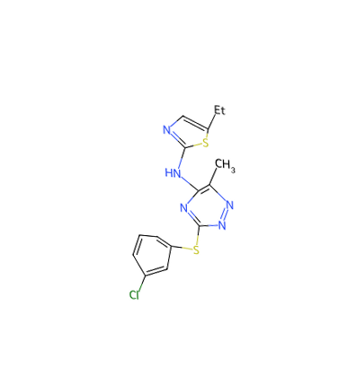 CCc1cnc(Nc2nc(Sc3cccc(Cl)c3)nnc2C)s1